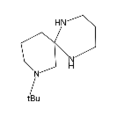 CC(C)(C)N1CCCC2(C1)NCCCN2